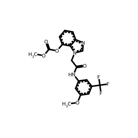 COC(=O)Oc1cccc2ncn(CC(=O)Nc3cc(OC)cc(C(F)(F)F)c3)c12